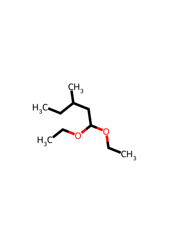 CCOC(CC(C)CC)OCC